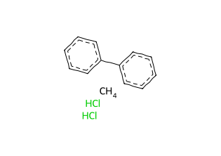 C.Cl.Cl.c1ccc(-c2ccccc2)cc1